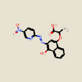 CC(Oc1cc(N=Nc2ccc([N+](=O)[O-])cn2)c(O)c2ccccc12)C(=O)O